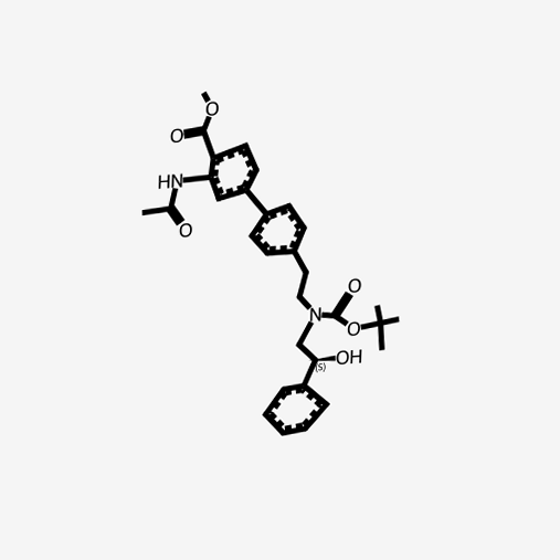 COC(=O)c1ccc(-c2ccc(CCN(C[C@@H](O)c3ccccc3)C(=O)OC(C)(C)C)cc2)cc1NC(C)=O